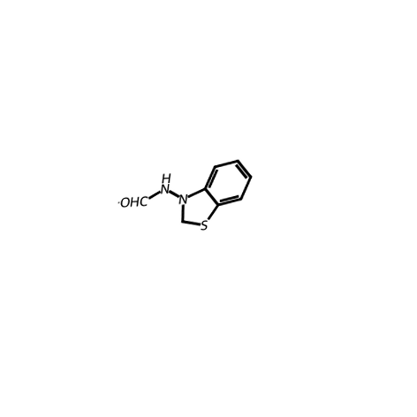 O=[C]NN1CSc2ccccc21